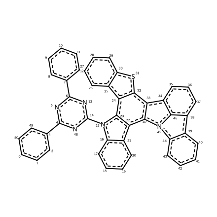 c1ccc(-c2nc(-c3ccccc3)nc(-n3c4ccccc4c4c3c3c5ccccc5sc3c3c5cccc6c7ccccc7n(c65)c34)n2)cc1